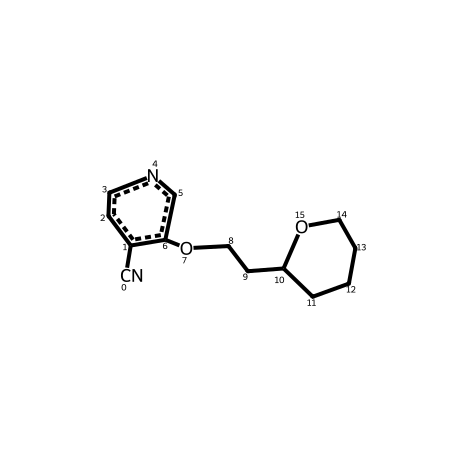 N#Cc1ccncc1OCCC1CCCCO1